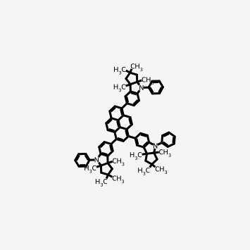 CC1(C)CC2(C)c3cc(-c4ccc5ccc6c(-c7ccc8c(c7)C7(C)CC(C)(C)CC7(C)N8c7ccccc7)cc(-c7ccc8c(c7)C7(C)CC(C)(C)CC7(C)N8c7ccccc7)c7ccc4c5c67)ccc3N(c3ccccc3)C2(C)C1